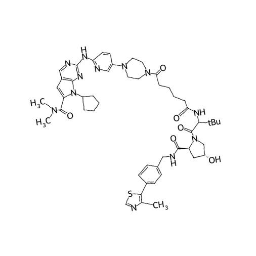 Cc1ncsc1-c1ccc(CNC(=O)[C@@H]2C[C@@H](O)CN2C(=O)C(NC(=O)CCCCC(=O)N2CCN(c3ccc(Nc4ncc5cc(C(=O)N(C)C)n(C6CCCC6)c5n4)nc3)CC2)C(C)(C)C)cc1